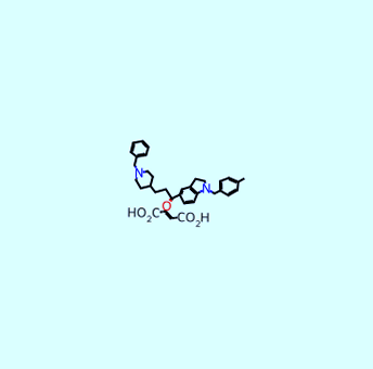 Cc1ccc(CN2CCc3cc(C(=O)CCC4CCN(Cc5ccccc5)CC4)ccc32)cc1.O=C(O)C=CC(=O)O